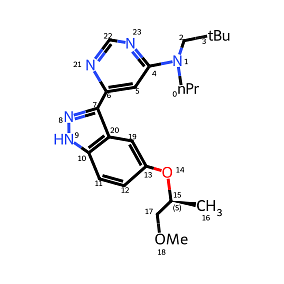 CCCN(CC(C)(C)C)c1cc(-c2n[nH]c3ccc(O[C@@H](C)COC)cc23)ncn1